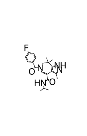 Cc1n[nH]c2c1C(C(=O)NC(C)C)=CN(C(=O)c1ccc(F)cc1)CC2(C)C